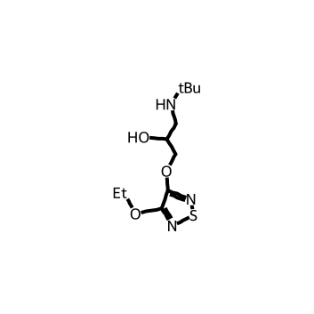 CCOc1nsnc1OCC(O)CNC(C)(C)C